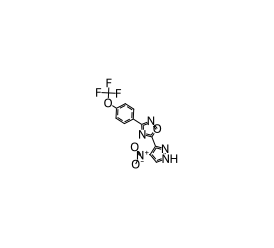 O=[N+]([O-])c1c[nH]nc1-c1nc(-c2ccc(OC(F)(F)F)cc2)no1